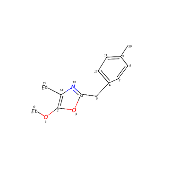 CCOc1oc(Cc2ccc(C)cc2)nc1CC